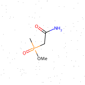 COP(C)(=O)CC(N)=O